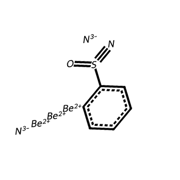 N#S(=O)c1ccccc1.[Be+2].[Be+2].[Be+2].[N-3].[N-3]